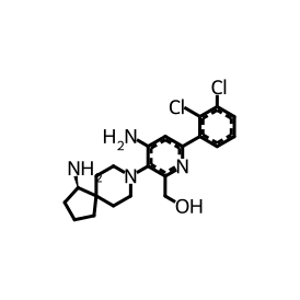 Nc1cc(-c2cccc(Cl)c2Cl)nc(CO)c1N1CCC2(CCC[C@H]2N)CC1